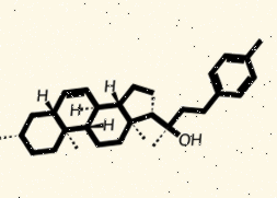 Cc1ccc(CC[C@@](C)(O)[C@H]2CC[C@H]3[C@@H]4C=C[C@H]5C[C@@H](C)CC[C@]5(C)[C@H]4CC[C@@]32C)cc1